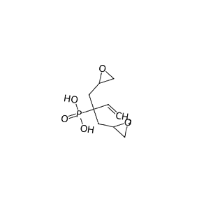 C=CC(CC1CO1)(CC1CO1)P(=O)(O)O